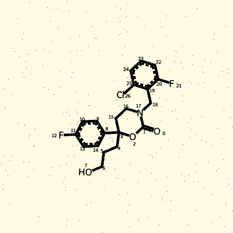 O=C1OC(CCCO)(c2ccc(F)cc2)CCN1Cc1c(F)cccc1Cl